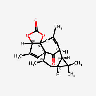 CC1=C[C@@H]2C(=O)[C@]3(C=C(C)[C@@H]4OC(=O)O[C@@]43C1)[C@H](C)C[C@@H]1[C@H]2C1(C)C